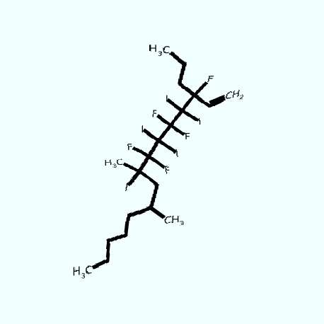 C=CC(F)(CCC)C(I)(I)C(F)(F)C(I)(I)C(F)(F)C(C)(I)CC(C)CCCCC